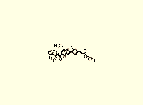 CCOC(=O)/C=C/c1ccc(-c2cc3nc(C(=O)N4CCn5cccc5C4C)cc(CC)n3n2)c(F)c1